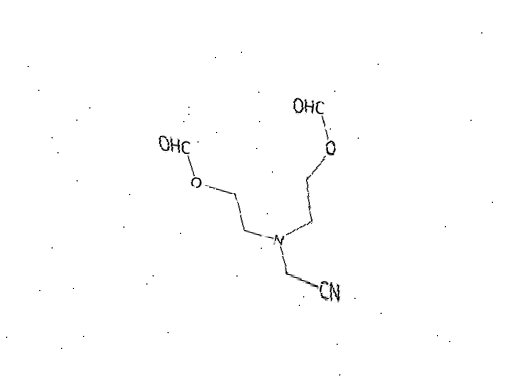 N#CCN(CCOC=O)CCOC=O